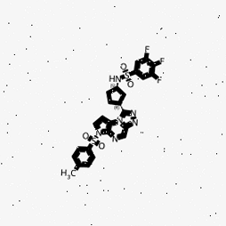 Cc1ccc(S(=O)(=O)n2ccc3c2ncc2nnc([C@@H]4CC[C@H](NS(=O)(=O)c5cc(F)c(F)c(F)c5)C4)n23)cc1